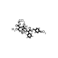 C=C1C[S+]([O-])[C@H]2C(NC(=O)C(C(=O)OCc3ccc([N+](=O)[O-])cc3)c3ccccc3)C(=O)N2C1C(=O)OCC(Cl)(Cl)Cl